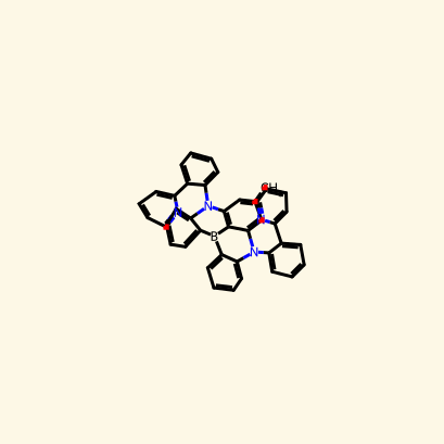 Cc1cc2c3c(c1)N(c1ccccc1-c1ccccn1)c1ccccc1B3c1ccccc1N2c1ccccc1-c1ccccn1